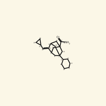 NC(=O)C12CC3CC(C4CCCCC4)(CC(C1)C3=CC1CC1)C2